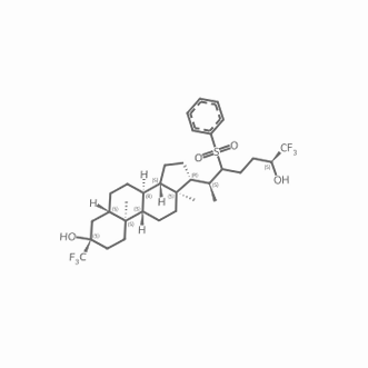 C[C@H](C(CC[C@H](O)C(F)(F)F)S(=O)(=O)c1ccccc1)[C@H]1CC[C@H]2[C@@H]3CC[C@H]4C[C@](O)(C(F)(F)F)CC[C@]4(C)[C@H]3CC[C@]12C